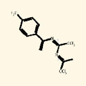 C=C(/N=C(\N=C(/C)C(Cl)(Cl)Cl)C(Cl)(Cl)Cl)c1ccc(C(F)(F)F)cc1